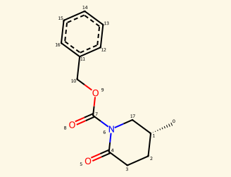 C[C@@H]1CCC(=O)N(C(=O)OCc2ccccc2)C1